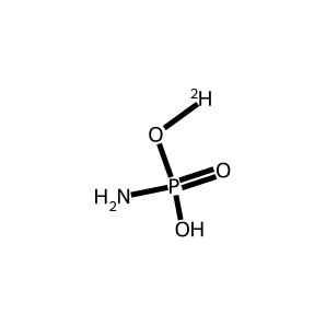 [2H]OP(N)(=O)O